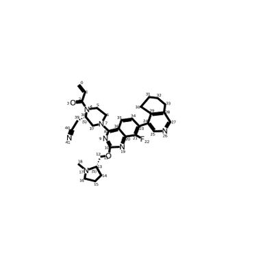 C=CC(=O)N1CCN(c2nc(OC[C@@H]3CCCN3C)nc3c(F)c(-c4cncc5c4CCCC5)ccc23)C[C@@H]1CC#N